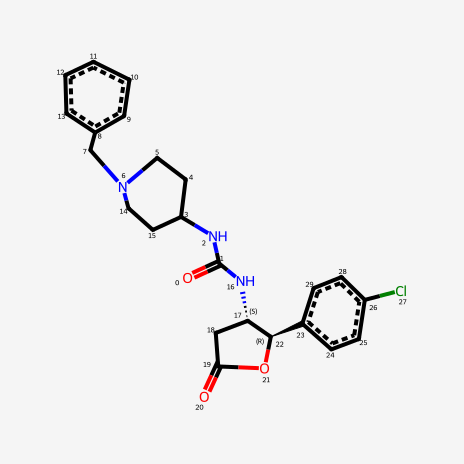 O=C(NC1CCN(Cc2ccccc2)CC1)N[C@H]1CC(=O)O[C@@H]1c1ccc(Cl)cc1